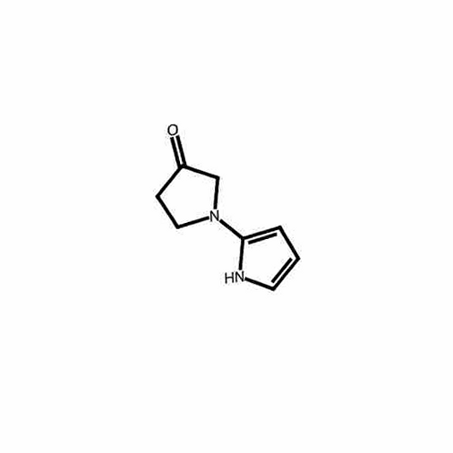 O=C1CCN(c2ccc[nH]2)C1